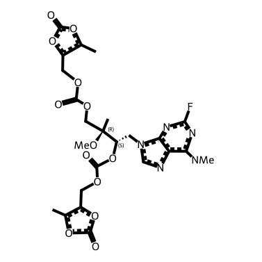 CNc1nc(F)nc2c1ncn2C[C@H](OC(=O)OCc1oc(=O)oc1C)[C@@](C)(COC(=O)OCc1oc(=O)oc1C)OC